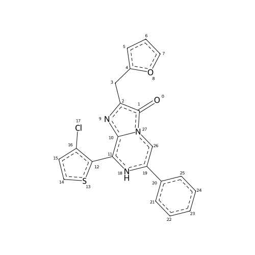 O=c1c(Cc2ccco2)nc2c(-c3sccc3Cl)[nH]c(-c3ccccc3)cn1-2